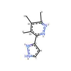 Cc1nnc(-c2cc[nH]n2)c(C)c1C